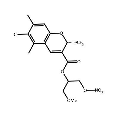 COCC(CO[N+](=O)[O-])OC(=O)C1=Cc2c(cc(C)c(Cl)c2C)O[C@@H]1C(F)(F)F